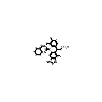 Cc1ccc(C(CC(=O)O)c2ccc3c(nnn3C)c2C)cc1CN(CC1CCCCC1)C(N)=O